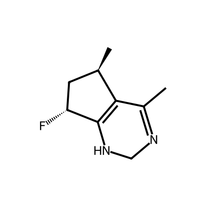 CC1=NCNC2=C1[C@H](C)C[C@H]2F